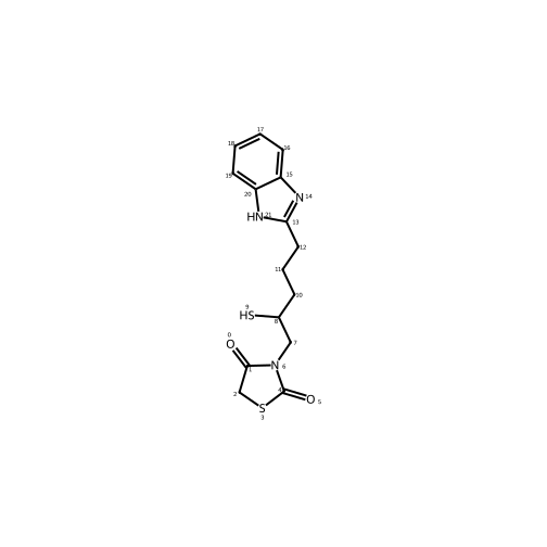 O=C1CSC(=O)N1CC(S)CCCc1nc2ccccc2[nH]1